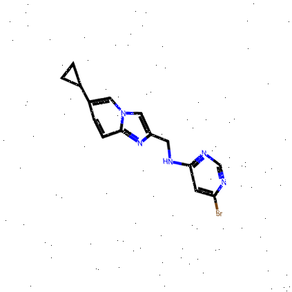 Brc1cc(NCc2cn3cc(C4CC4)ccc3n2)ncn1